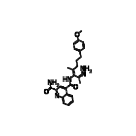 COc1ccc(CCC/C(C)=C(NC(=O)c2cc(C(N)=O)nc3ccccc23)\C(C)=N/N)cc1